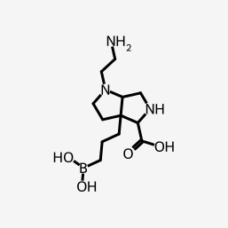 NCCN1CCC2(CCCB(O)O)C(C(=O)O)NCC12